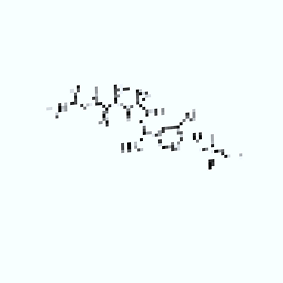 CC(c1cnc(OCC(C)(F)F)c(Cl)c1)N1CC(C(=N)C(=O)NCC(N)=O)C2(C=C2)C1=O